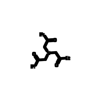 CCC(=O)CN(CC(=O)C(C)C)CC(=O)C(C)C